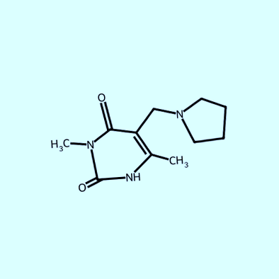 Cc1[nH]c(=O)n(C)c(=O)c1CN1CCCC1